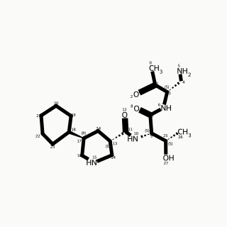 CC(=O)[C@H](CN)NC(=O)[C@@H](NC(=O)[C@@H]1CNC[C@@H](C2CCCCC2)C1)[C@H](C)O